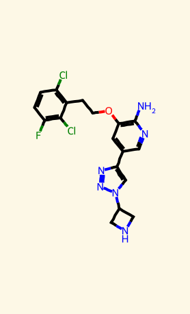 Nc1ncc(-c2cn(C3CNC3)nn2)cc1OCCc1c(Cl)ccc(F)c1Cl